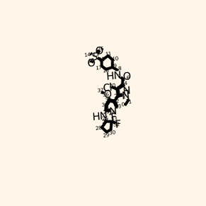 CCn1nc(C(=O)NCC2CCC(S(C)(=O)=O)CC2)c(Cl)c1-c1cnc(N[C@@H]2CCCC2(F)F)cc1OC